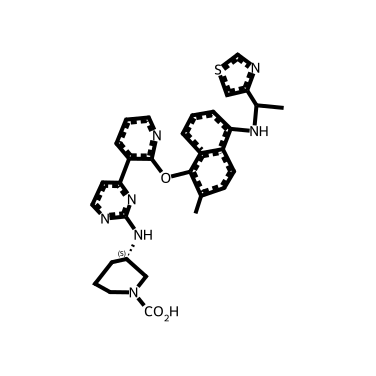 Cc1ccc2c(NC(C)c3cscn3)cccc2c1Oc1ncccc1-c1ccnc(N[C@H]2CCCN(C(=O)O)C2)n1